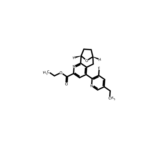 CCOC(=O)c1cc(-c2ncc(CC)cc2F)c2c(n1)[C@@H]1CC[C@H](C2)O1